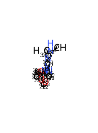 C#CCNC1(C)CCN(C2CCN(c3nc([C@](COC4CCCCO4)(OC4CC4)c4ccccc4)c4ccccc4n3)CC2)CC1